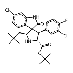 CC(C)(C)C[C@@H]1N[C@@H](C(=O)OC(C)(C)C)[C@H](c2ccc(F)c(Cl)c2)C12C(=O)Nc1cc(Cl)ccc12